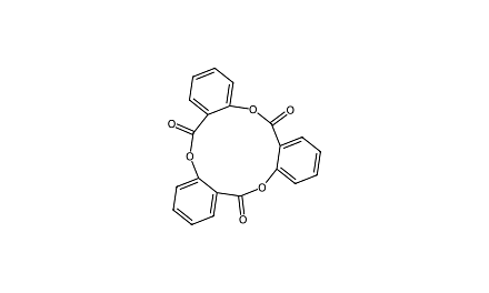 O=C1Oc2ccccc2C(=O)Oc2ccccc2C(=O)Oc2ccccc21